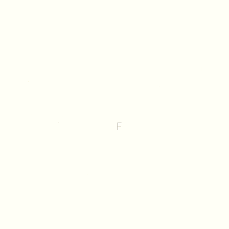 C#CC(CC)CC(F)CCCC